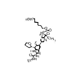 CCCCCCCCCCCCCCCCOP(=O)(O)OC(C)(C)c1ncc(-c2cc3nc(NC(=O)NCC)[nH]c3c([C@H]3CCCO3)c2F)cn1